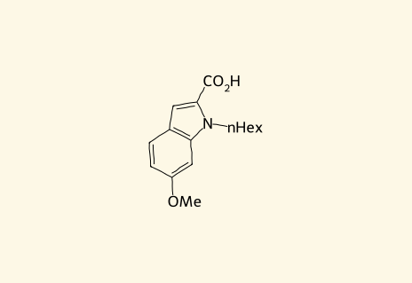 CCCCCCn1c(C(=O)O)cc2ccc(OC)cc21